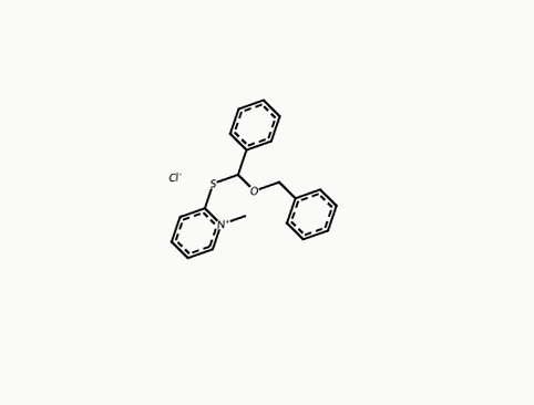 C[n+]1ccccc1SC(OCc1ccccc1)c1ccccc1.[Cl-]